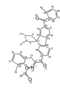 CCCC1(CCC)c2cc(C(=O)/C(Cc3cccc(C)c3)=N/OC(C)=O)ccc2-c2ccc(C(=O)c3ccccc3C)cc21